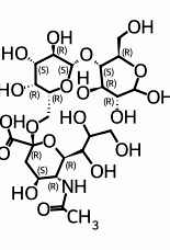 CC(=O)N[C@@H]1[C@@H](O)C[C@](OC[C@H]2O[C@@H](O[C@H]3[C@H](O)[C@@H](O)C(O)O[C@@H]3CO)[C@H](O)[C@@H](O)[C@H]2O)(C(=O)O)O[C@H]1C(O)C(O)CO